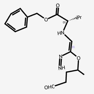 CC(CCC=O)O/C(=C/N[C@H](C(=O)OCc1ccccc1)C(C)C)N=N